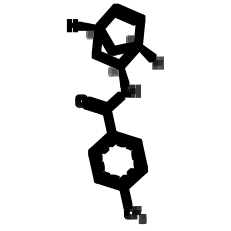 O=C(N[C@H]1C[C@@H]2C=C[C@H]1C2)c1ccc(C(F)(F)F)cc1